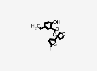 C=Cc1ccc(O)c(C(=O)OC2(c3ccc(I)s3)CCOC2)c1